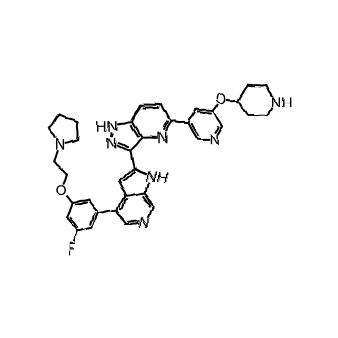 Fc1cc(OCCN2CCCC2)cc(-c2cncc3[nH]c(-c4n[nH]c5ccc(-c6cncc(OC7CCNCC7)c6)nc45)cc23)c1